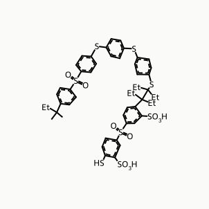 CCC(C)(C)c1ccc(S(=O)(=O)c2ccc(Sc3ccc(Sc4ccc(SC(CC)(CC)C(CC)(CC)c5ccc(S(=O)(=O)c6ccc(S)c(S(=O)(=O)O)c6)cc5S(=O)(=O)O)cc4)cc3)cc2)cc1